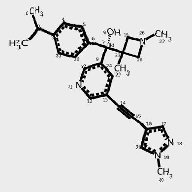 CC(C)c1ccc([C@](O)(c2cncc(C#Cc3cnn(C)c3)c2)C2(C)CN(C)C2)cc1